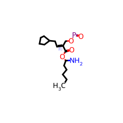 CCCCCC(N)OC(=O)/C(=C/CC1CCCC1)COP=O